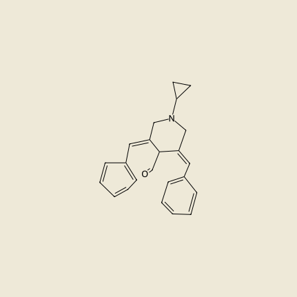 O=CC1/C(=C\c2ccccc2)CN(C2CC2)C/C1=C/c1ccccc1